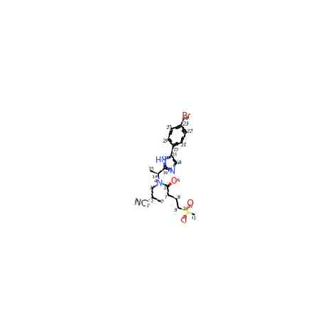 C[C@H](C#N)CN(C(=O)CCCS(C)(=O)=O)[C@@H](C)c1ncc(-c2ccc(Br)cc2)[nH]1